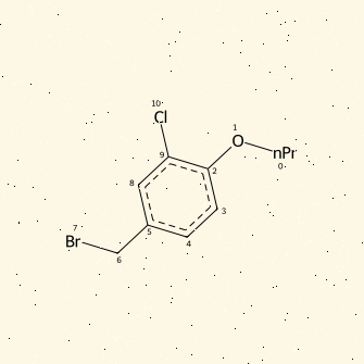 CCCOc1ccc(CBr)cc1Cl